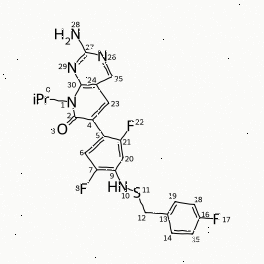 CC(C)n1c(=O)c(-c2cc(F)c(NSCc3ccc(F)cc3)cc2F)cc2cnc(N)nc21